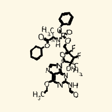 CCOc1nc(NC=O)nc2c1ncn2[C@@H]1O[C@](F)(COP(=O)(N[C@@H](C)C(=O)OC2CCCCC2)Oc2ccccc2)C(F)[C@@]1(C)O